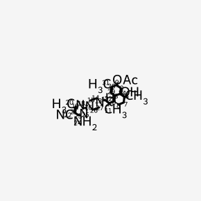 CC(=O)O[C@@H]1[C][C@@]2(O)[C@H](C)CC[C@@H]([C@H](C)CN3CCN(c4nc(C)c(C#N)c(N)n4)CC3)[C@H]2C=C1C